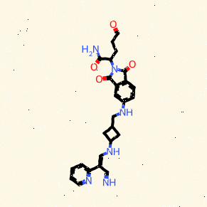 N=C/C(=C\NC1CC(CNc2ccc3c(c2)C(=O)N(C(CCC=O)C(N)=O)C3=O)C1)c1ccccn1